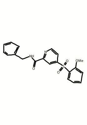 COc1ccccc1S(=O)(=O)c1ccnc(C(=O)NCc2ccccc2)c1